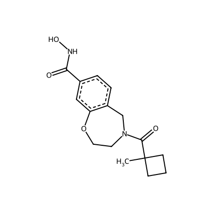 CC1(C(=O)N2CCOc3cc(C(=O)NO)ccc3C2)CCC1